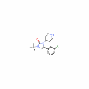 CC(C)(C)N1CC(c2cccc(Cl)c2)N(C2CCNCC2)C1=O